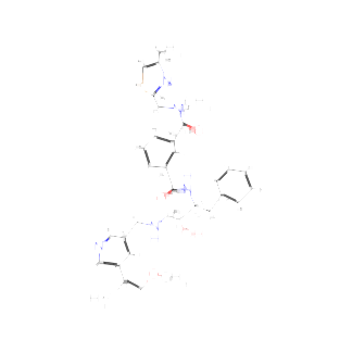 CO/C=C(/C)c1cncc(CNC[C@@H](O)[C@H](Cc2ccccc2)NC(=O)c2cccc(C(=O)N(C)Cc3nc(C)cs3)c2)c1